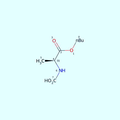 CCCCOC(=O)[C@H](C)NC(=O)O